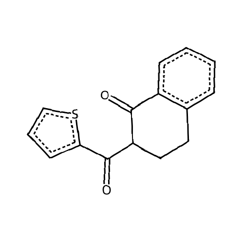 O=C(c1cccs1)C1CCc2ccccc2C1=O